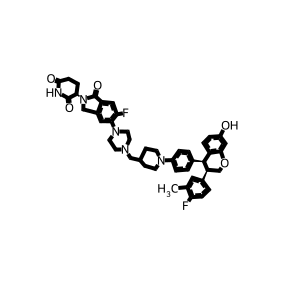 Cc1cc([C@@H]2COc3cc(O)ccc3[C@@H]2c2ccc(N3CCC(CN4CCN(c5cc6c(cc5F)C(=O)N([C@H]5CCC(=O)NC5=O)C6)CC4)CC3)cc2)ccc1F